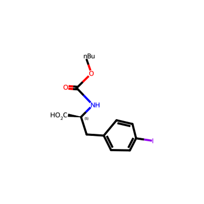 CCCCOC(=O)N[C@@H](Cc1ccc(I)cc1)C(=O)O